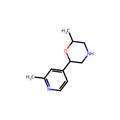 Cc1cc(C2CNCC(C)O2)ccn1